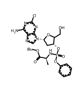 CCC(C)OC(=O)[C@H](C)NP(=O)(Oc1ccccc1)O[C@@H]1C[C@H](n2cnc3c(N)nc(Cl)nc32)OC1CO